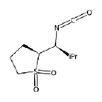 CC(C)[C@H](N=C=O)[C@@H]1CCCS1(=O)=O